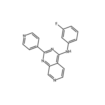 Fc1cccc(Nc2nc(-c3ccncc3)nc3cnccc23)c1